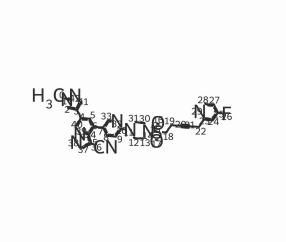 Cn1cc(-c2cc(-c3ccc(N4CCN(S(=O)(=O)CCC#CCc5cc(F)ccn5)CC4)nc3)c3c(C#N)cnn3c2)cn1